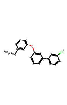 O=C(O)Cc1cccc(Oc2cccc(-c3cccc(Cl)c3)c2)c1